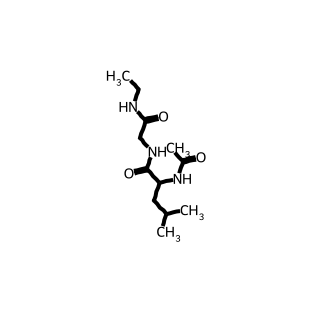 CCNC(=O)CNC(=O)C(CC(C)C)NC(C)=O